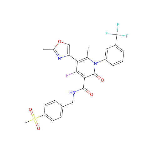 Cc1nc(-c2c(I)c(C(=O)NCc3ccc(S(C)(=O)=O)cc3)c(=O)n(-c3cccc(C(F)(F)F)c3)c2C)co1